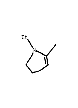 CCN1CCC=C1C